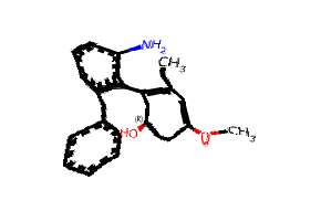 COC1=CC(C)=C(c2c(N)cccc2-c2ccccc2)[C@H](O)C1